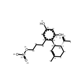 C=C(C)[C@@H]1CCC(C)=C[C@H]1c1c(O)cc(O)cc1CCCO[N+](=O)[O-]